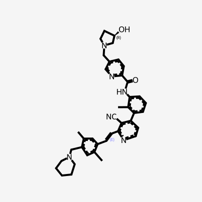 Cc1cc(CN2CCCCC2)c(C)cc1/C=C/c1nccc(-c2cccc(NC(=O)c3ccc(CN4CC[C@@H](O)C4)cn3)c2C)c1C#N